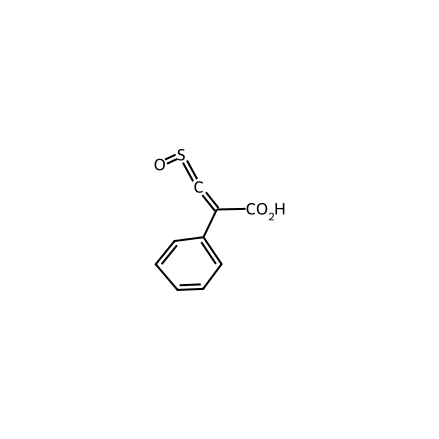 O=S=C=C(C(=O)O)c1ccccc1